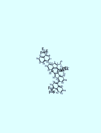 CCC1=Cc2c(-c3ccc(C(F)(F)F)c4ccccc34)cccc2[CH]1[Zr+2]([CH]1C(CC)=Cc2c(-c3ccc(C(F)(F)F)c4ccccc34)cccc21)=[Sn]([CH3])[CH3].[Cl-].[Cl-]